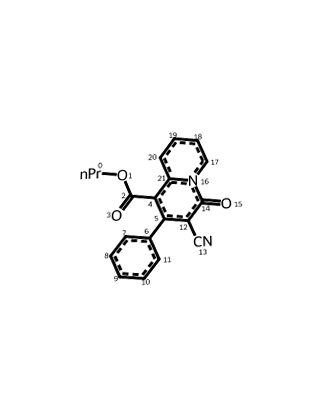 CCCOC(=O)c1c(-c2ccccc2)c(C#N)c(=O)n2ccccc12